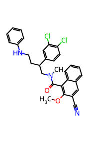 COc1c(C#N)cc2ccccc2c1C(=O)N(C)CC(CCNc1ccccc1)c1ccc(Cl)c(Cl)c1